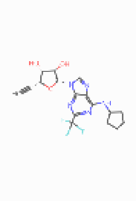 C#C[C@H]1O[C@@H](n2cnc3c(NC4CCCC4)nc(C(F)(F)F)nc32)[C@H](O)[C@H]1O